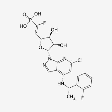 C[C@H](Nc1cc(Cl)nc2c1cnn2[C@@H]1OC(/C=C(\F)P(=O)(O)O)[C@@H](O)[C@H]1O)c1ccccc1F